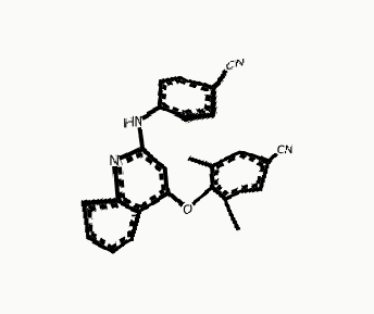 Cc1cc(C#N)cc(C)c1Oc1cc(Nc2ccc(C#N)cc2)nc2ccccc12